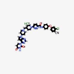 Cl.N#Cc1ccc(OC2CCC(NC(=O)c3ccc(N4CCC(CN5CCC(n6ccc7c(N8CCC(=O)NC8=O)ncnc76)CC5)CC4)nn3)CC2)cc1Cl